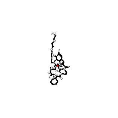 C[C@@H](C(=O)N[C@H](C(=O)N1CCN(C(=O)c2cc3cc(F)c(F)cc3n2CC(=O)N(C)CCOCCOCCOCCO)CC1)C1CCCCC1)N(C)C(=O)OC(C)(C)C